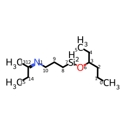 CCCC(CC)O[SiH2]CCCN=C(C)CC